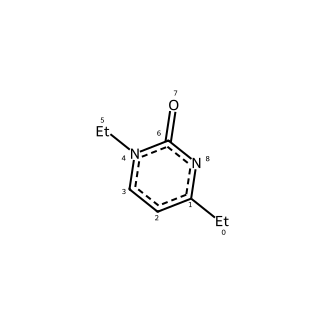 CCc1ccn(CC)c(=O)n1